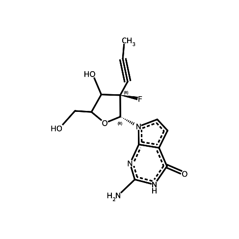 CC#C[C@@]1(F)C(O)C(CO)O[C@H]1n1ccc2c(=O)[nH]c(N)nc21